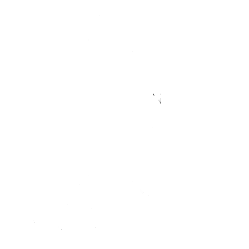 c1ccc(N(c2ccc(-c3cccc4c3-c3ccccc3C43C4CC5CC(C4)CC3C5)cc2)c2ccc3c(ccc4ccccc43)c2)cc1